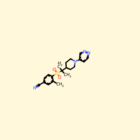 Cc1cc(C#N)ccc1S(=O)(=O)C(C)(C)C1CCN(c2ccnnc2)CC1